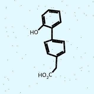 O=C(O)Cc1ccc(-c2ccccc2O)cc1